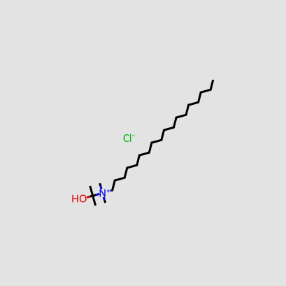 CCCCCCCCCCCCCCCCCC[N+](C)(C)C(C)(C)O.[Cl-]